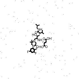 CC(C)CNC(=O)[C@@H](C[C@H](O)[C@@H](N)CN1CC(=O)N(c2cc(F)cc(F)c2F)CC1(C)C)C(C)C.O=C(O)/C=C/C(=O)O